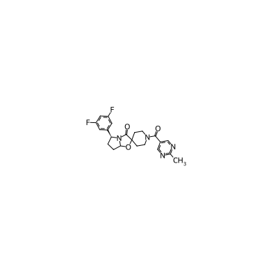 Cc1ncc(C(=O)N2CCC3(CC2)OC2CC[C@@H](c4cc(F)cc(F)c4)N2C3=O)cn1